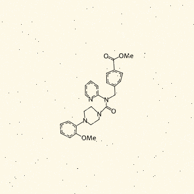 COC(=O)c1ccc(CN(C(=O)N2CCN(c3ccccc3OC)CC2)c2ccccn2)cc1